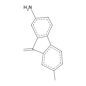 C=C1c2cc(C)ccc2-c2ccc(N)cc21